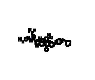 C=N/N=C(\OCC(F)F)c1ccc(CN2C(=O)c3ccc(N4CCN(CC5CCCCC5)CC4)cc3C(C)(C)C2=O)nc1